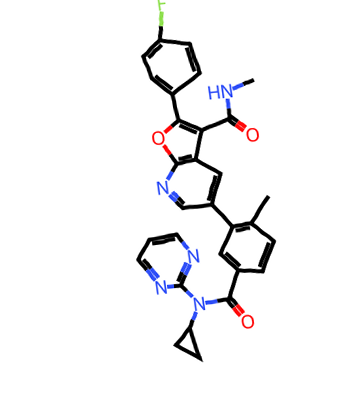 CNC(=O)c1c(-c2ccc(F)cc2)oc2ncc(-c3cc(C(=O)N(c4ncccn4)C4CC4)ccc3C)cc12